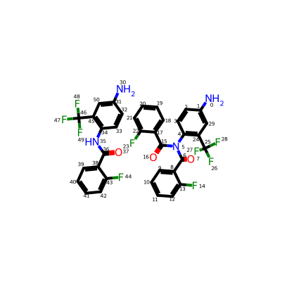 Nc1ccc(N(C(=O)c2ccccc2F)C(=O)c2ccccc2F)c(C(F)(F)F)c1.Nc1ccc(NC(=O)c2ccccc2F)c(C(F)(F)F)c1